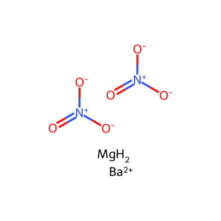 O=[N+]([O-])[O-].O=[N+]([O-])[O-].[Ba+2].[MgH2]